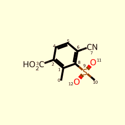 Cc1c(C(=O)O)ccc(C#N)c1S(C)(=O)=O